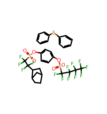 O=S(=O)(Oc1ccc(OS(=O)(=O)C(F)(F)C(F)(F)C(F)(F)C(F)(F)F)cc1)C(F)(F)C(F)(F)C1CC2CCC1C2.c1ccc(Sc2ccccc2)cc1